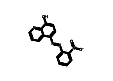 O=[N+]([O-])c1ccccc1N=Nc1ccc(O)c2ncccc12